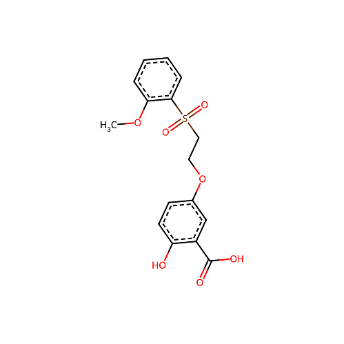 COc1ccccc1S(=O)(=O)CCOc1ccc(O)c(C(=O)O)c1